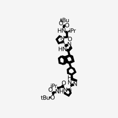 CC(C)[C@H](NC(=O)OC(C)(C)C)C(=O)N1CCC[C@H]1c1ncc(-c2ccc(C3CCC(c4cnc([C@@H]5CCCN5C(=O)[C@@H](NC(=O)OC(C)(C)C)C(C)C)[nH]4)CC3)c3c2C2CCC3CC2)[nH]1